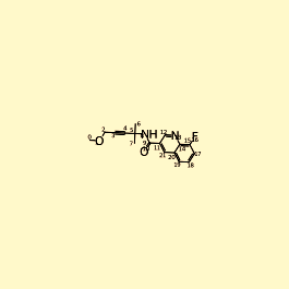 COCC#CC(C)(C)NC(=O)c1cnc2c(F)cccc2c1